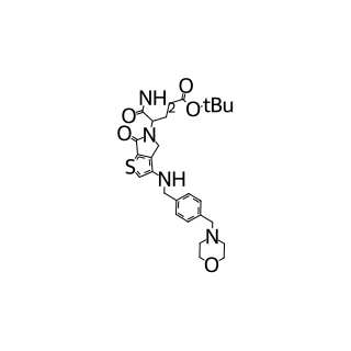 CC(C)(C)OC(=O)CCC(C(N)=O)N1Cc2c(NCc3ccc(CN4CCOCC4)cc3)csc2C1=O